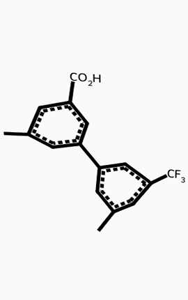 Cc1cc(C(=O)O)cc(-c2cc(C)cc(C(F)(F)F)c2)c1